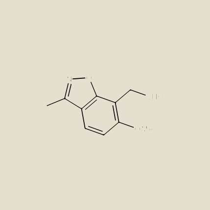 COc1ccc2c(C)noc2c1CC=O